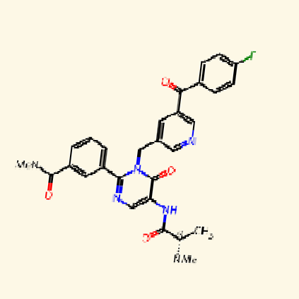 CNC(=O)c1cccc(-c2ncc(NC(=O)[C@H](C)NC)c(=O)n2Cc2cncc(C(=O)c3ccc(F)cc3)c2)c1